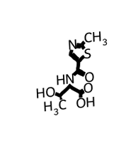 Cc1ncc(C(=O)N[C@H](C(=O)O)[C@@H](C)O)s1